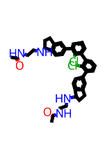 CC(=O)NCCNC1CCc2cc(-c3cccc(-c4cccc(-c5ccc6c(c5)CCC6NCCNC(C)=O)c4Cl)c3Cl)ccc21